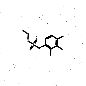 CCOS(=O)(=O)Cc1ccc(C)c(C)c1C